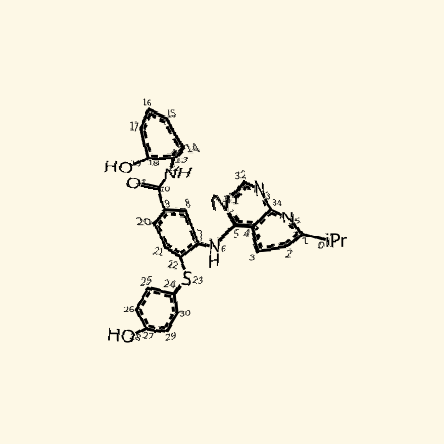 CC(C)c1ccc2c(Nc3cc(C(=O)Nc4ccccc4O)ccc3Sc3ccc(O)cc3)ncnc2n1